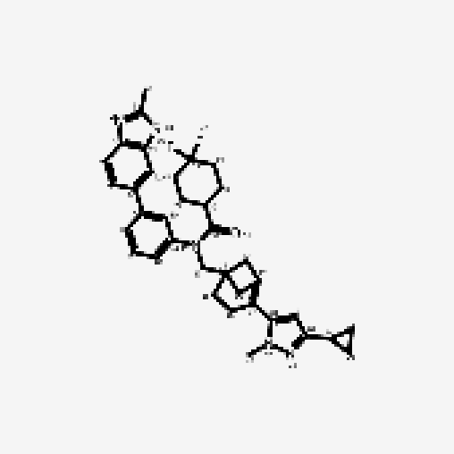 Cc1nc2ccc(-c3cccc(N(CC45CCC(c6cc(C7CC7)nn6C)=C(C4)C5)C(=O)C4CCC(F)(F)CC4)c3)cc2s1